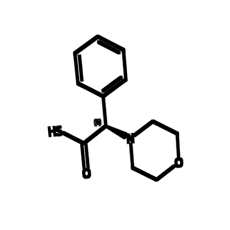 O=C(S)[C@@H](c1ccccc1)N1CCOCC1